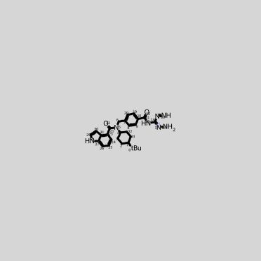 CC(C)(C)C1CCC(N(Cc2ccc(C(=O)N/C(N=N)=N/N)cc2)C(=O)c2cccc3[nH]ccc23)CC1